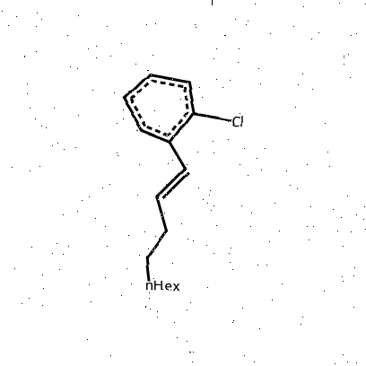 CCCCCCCC/C=C/c1[c]cccc1Cl